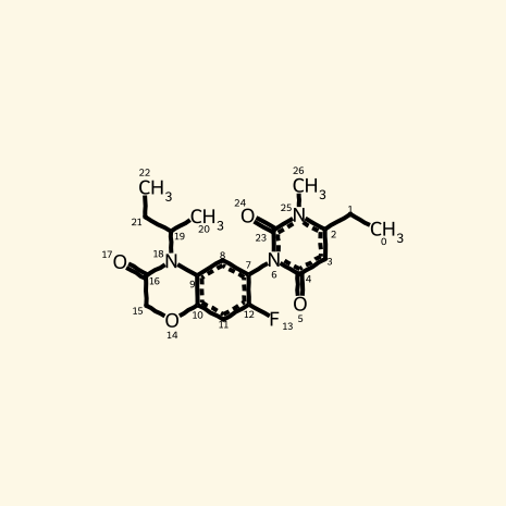 CCc1cc(=O)n(-c2cc3c(cc2F)OCC(=O)N3C(C)CC)c(=O)n1C